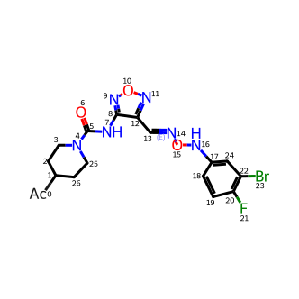 CC(=O)C1CCN(C(=O)Nc2nonc2/C=N/ONc2ccc(F)c(Br)c2)CC1